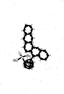 CC(C)(C)P(=O)(C(C)(C)C)[C]12[CH]3[CH]4[CH]5[CH]1[Fe]45321678[CH]2[CH]1[CH]6[C]7(c1c3ccccc3cc3c1ccc1cc4ccccc4cc13)[CH]28